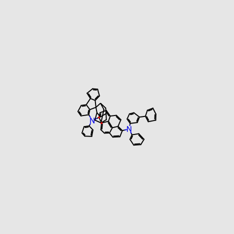 c1ccc(-c2cccc(N(c3ccccc3)c3ccc4ccc5c(N(c6ccccc6)c6cccc7c6C6(c8ccccc8-7)C7CC8CC(C7)CC6C8)ccc6ccc3c4c65)c2)cc1